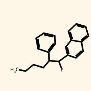 CCCCC(c1ccccc1)C(F)c1ccc2ccccc2c1